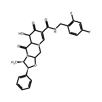 C[C@@H]1[C@H](c2ccccc2)OC2CN3C=C(C(=O)NCc4ccc(F)cc4F)C(=O)C(O)C3C(=O)N21